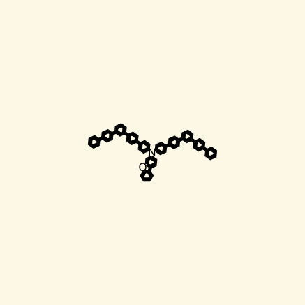 c1ccc(-c2ccc(-c3cccc(-c4ccc(-c5ccc(N(c6ccc(-c7ccc(-c8cccc(-c9ccc(-c%10ccccc%10)cc9)c8)cc7)cc6)c6ccc7c(c6)oc6ccccc67)cc5)cc4)c3)cc2)cc1